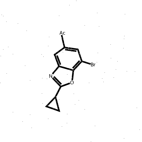 CC(=O)c1cc(Br)c2oc(C3CC3)nc2c1